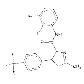 CC1=NC(C(=O)Nc2cccc(F)c2F)C(c2ccc(C(F)(F)F)cc2)C1